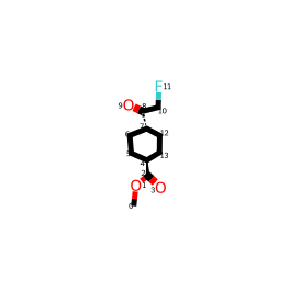 COC(=O)[C@H]1CC[C@H](C(=O)CF)CC1